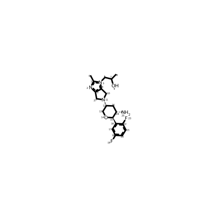 Cc1nc2c(n1CC(C)O)CN([C@H]1CO[C@H](c3cc(F)ccc3F)[C@@H](N)C1)C2